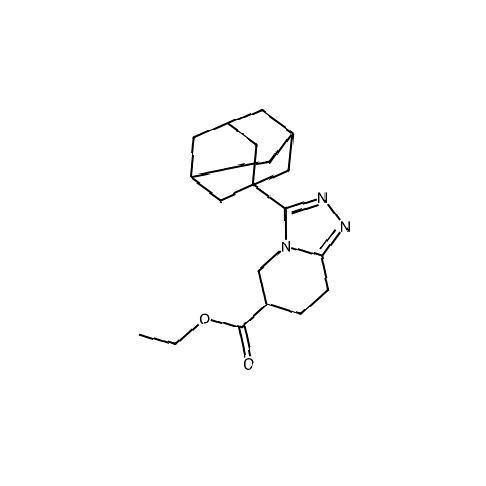 CCOC(=O)C1CCc2nnc(C34CC5CC(CC(C5)C3)C4)n2C1